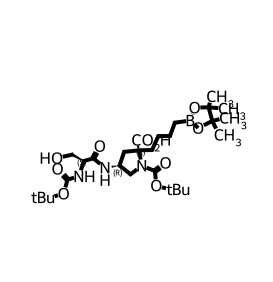 CC(C)(C)OC(=O)N[C@@H](CO)C(=O)N[C@H]1CN(C(=O)OC(C)(C)C)[C@@](CCCCB2OC(C)(C)C(C)(C)O2)(C(=O)O)C1